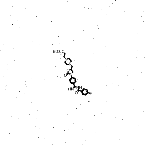 CCOC(=O)CCN1CCN(CC2CN(c3ccc(C(=N)NC(=O)c4ccc(F)cc4)cc3)C(=O)O2)CC1